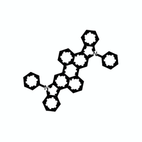 c1ccc(-n2c3ccccc3c3c4cccc5c6cc7c(c8cccc(c(cc32)c54)c68)c2ccccc2n7-c2ccccc2)cc1